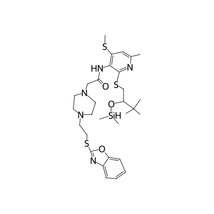 CSc1cc(C)nc(SCC(O[SiH](C)C)C(C)(C)C)c1NC(=O)CN1CCN(CCSc2nc3ccccc3o2)CC1